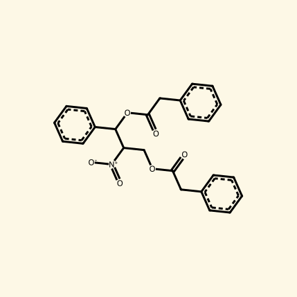 O=C(Cc1ccccc1)OCC(C(OC(=O)Cc1ccccc1)c1ccccc1)[N+](=O)[O-]